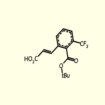 CC(C)(C)OC(=O)c1c(/C=C/C(=O)O)cccc1C(F)(F)F